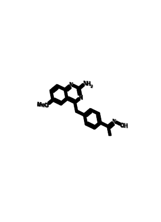 COc1ccc2nc(N)nc(Cc3ccc(C(C)=NO)cc3)c2c1